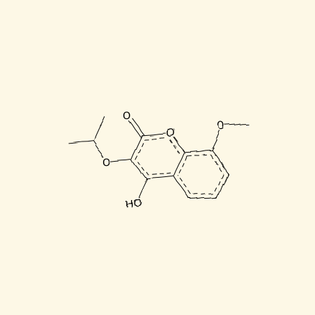 COc1cccc2c(O)c(OC(C)C)c(=O)oc12